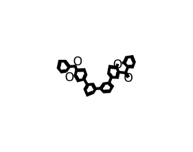 O=c1c2ccccc2oc2cc(-c3cccc(-c4cccc(-c5ccc6oc7ccccc7c(=O)c6c5)c4)c3)ccc12